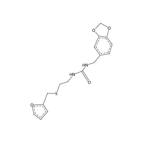 O=C(NCCSCc1ccco1)NCc1ccc2c(c1)OCO2